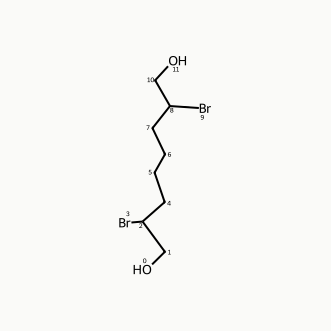 OCC(Br)CCCCC(Br)CO